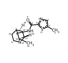 Cc1cnc(C(=O)N[C@@H]2C3CCN(CC3)[C@H]2C)s1